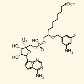 CCCCCCCCCCCCCCCCC[C@@H](COP(=O)(O)OC[C@@]1(C)O[C@@H](c2ccc3c(N)ncnn23)[C@H](O)[C@@H]1O)OCc1cc(N)cc(F)c1